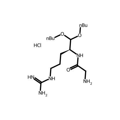 CCCCOC(OCCCC)[C@H](CCCNC(=N)N)NC(=O)CN.Cl